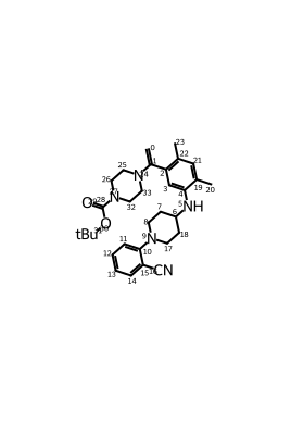 C=C(c1cc(NC2CCN(c3ccccc3C#N)CC2)c(C)cc1C)N1CCN(C(=O)OC(C)(C)C)CC1